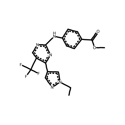 CCn1cc(-c2nc(Nc3ccc(C(=O)OC)cc3)ncc2C(F)(F)F)cn1